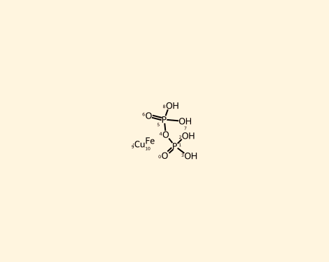 O=P(O)(O)OP(=O)(O)O.[Cu].[Fe]